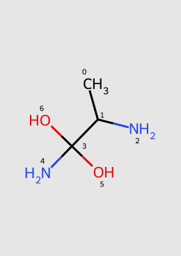 CC(N)C(N)(O)O